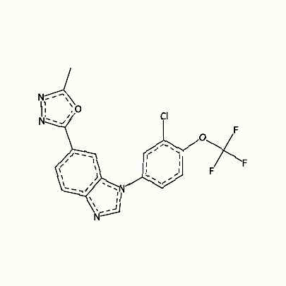 Cc1nnc(-c2ccc3ncn(-c4ccc(OC(F)(F)F)c(Cl)c4)c3c2)o1